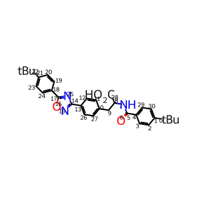 CC(C)(C)c1ccc(C(=O)NC(Cc2ccc(-c3noc(-c4ccc(C(C)(C)C)cc4)n3)cc2)C(=O)O)cc1